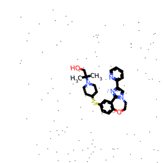 CC(C)(CO)N1CCC(Sc2ccc3c(c2)-c2nc(-c4ccccn4)cn2CCO3)CC1